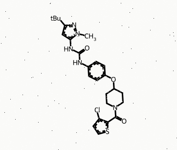 Cn1nc(C(C)(C)C)cc1NC(=O)Nc1ccc(OC2CCN(C(=O)c3sccc3Cl)CC2)cc1